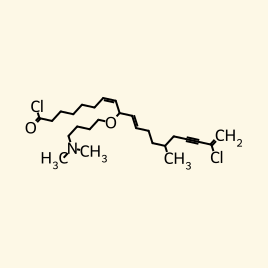 C=C(Cl)C#CCC(C)CC/C=C/C(/C=C\CCCCCC(=O)Cl)OCCCCN(C)C